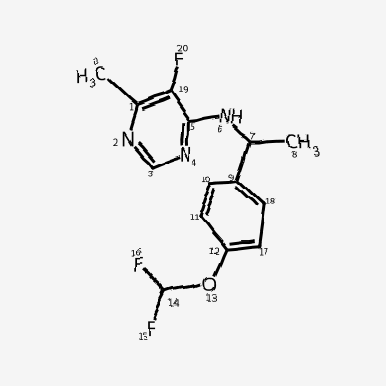 Cc1ncnc(NC(C)c2ccc(OC(F)F)cc2)c1F